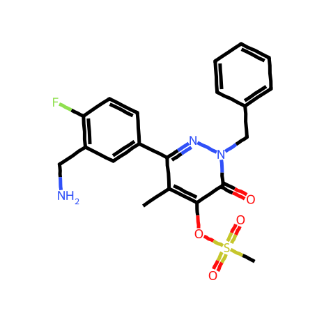 Cc1c(-c2ccc(F)c(CN)c2)nn(Cc2ccccc2)c(=O)c1OS(C)(=O)=O